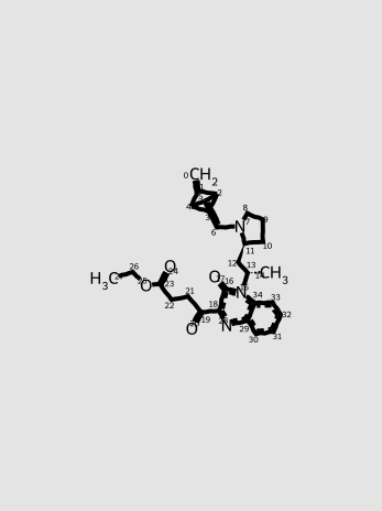 C=C1C2CC1C2=CN1CCC[C@H]1C[C@H](C)n1c(=O)c(C(=O)CCC(=O)OCC)nc2ccccc21